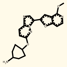 COc1nccc2oc(-c3cnc4ccc(OC5CCC(N)CC5)nn34)cc12